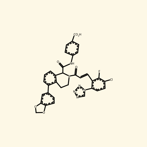 O=C(O)c1ccc(NC(=O)C2c3cccc(-c4ccc5c(c4)OCO5)c3CCN2C(=O)/C=C/c2c(-n3cnnn3)ccc(Cl)c2F)cc1